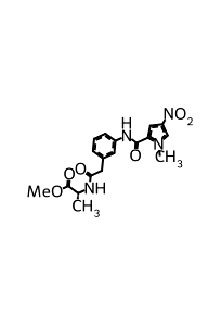 COC(=O)[C@H](C)NC(=O)Cc1cccc(NC(=O)c2cc([N+](=O)[O-])cn2C)c1